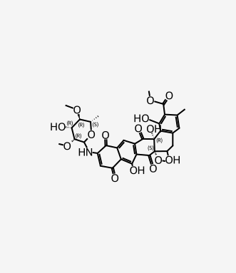 COC(=O)c1c(C)cc2c(c1O)[C@]1(O)C(=O)c3cc4c(c(O)c3C(=O)[C@]1(OC)C(O)C2)C(=O)C=C(NC1O[C@@H](C)[C@H](OC)[C@@H](O)[C@H]1OC)C4=O